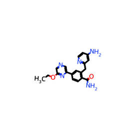 CCOc1cncc(-c2ccc(C(N)=O)c(Cc3cc(N)ccn3)c2)n1